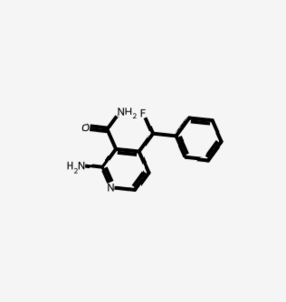 NC(=O)c1c(C(F)c2ccccc2)ccnc1N